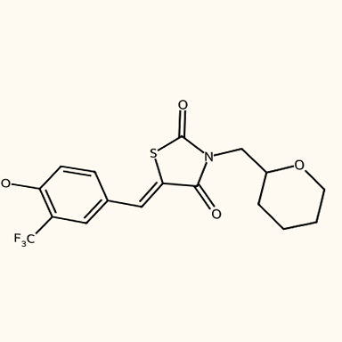 O=C1S/C(=C\c2ccc(O)c(C(F)(F)F)c2)C(=O)N1CC1CCCCO1